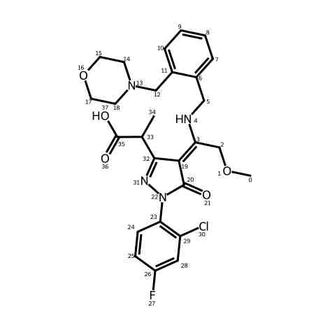 COCC(NCc1ccccc1CN1CCOCC1)=C1C(=O)N(c2ccc(F)cc2Cl)N=C1C(C)C(=O)O